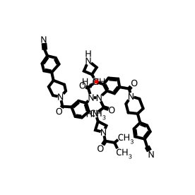 Cc1ccc(C(=O)N2CCC(c3ccc(C#N)cc3)CC2)cc1N(C(=O)NC1CNC1)N(C(=O)NC1CN(C(=O)C(C)C)C1)c1cc(C(=O)N2CCC(c3ccc(C#N)cc3)CC2)ccc1C